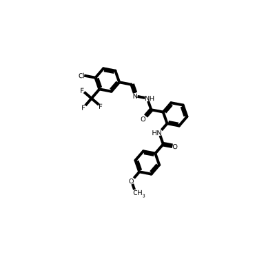 COc1ccc(C(=O)Nc2ccccc2C(=O)N/N=C/c2ccc(Cl)c(C(F)(F)F)c2)cc1